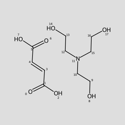 O=C(O)C=CC(=O)O.OCCN(CCO)CCO